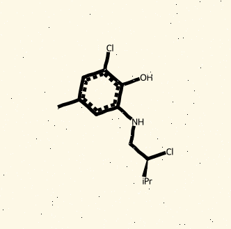 Cc1cc(Cl)c(O)c(NC[C@@H](Cl)C(C)C)c1